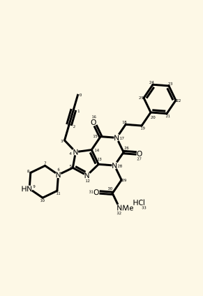 CC#CCn1c(N2CCNCC2)nc2c1c(=O)n(CCc1ccccc1)c(=O)n2CC(=O)NC.Cl